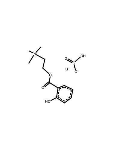 C[N+](C)(C)CCOC(=O)c1ccccc1O.O=S([O-])O.[Li]